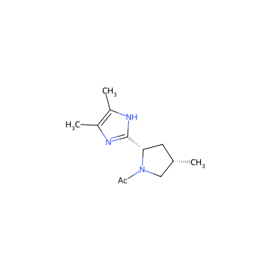 CC(=O)N1C[C@@H](C)C[C@H]1c1nc(C)c(C)[nH]1